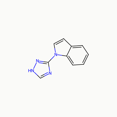 c1ccc2c(c1)ccn2-c1nc[nH]n1